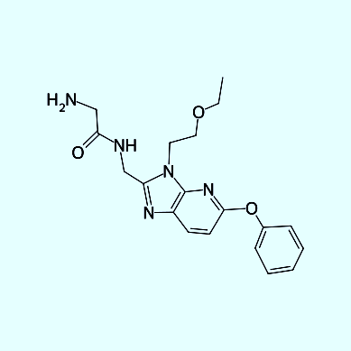 CCOCCn1c(CNC(=O)CN)nc2ccc(Oc3ccccc3)nc21